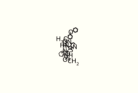 C=CC(=O)N[C@H]1CCCC[C@H]1NC(=O)c1sc2nccc3c2c1NC(=O)N3c1ccc(Oc2ccccc2)cc1C